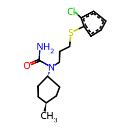 C[C@H]1CC[C@H](N(CCCSc2ccccc2Cl)C(N)=O)CC1